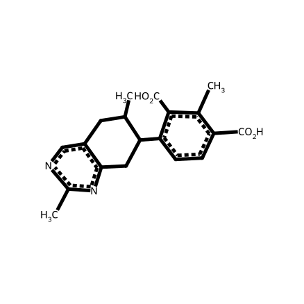 Cc1ncc2c(n1)CC(c1ccc(C(=O)O)c(C)c1C(=O)O)C(C)C2